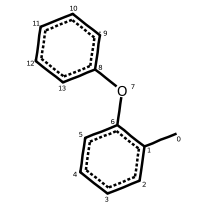 Cc1ccccc1Oc1[c]cccc1